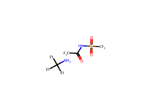 CCC(N)(CC)CC.O=C(NS(=O)(=O)C(F)(F)F)C(F)(F)F